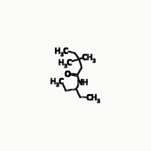 CCC(CC)NC(=O)CC(C)(C)CC